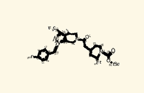 CCC1CC(CC(=O)N2CCc3c(C(F)(F)F)nn(Cc4ccc(F)cc4)c3C2)CCN1C(=O)OC(C)(C)C